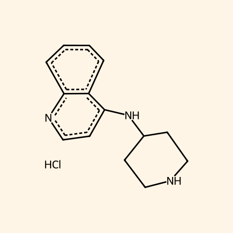 Cl.c1ccc2c(NC3CCNCC3)ccnc2c1